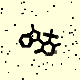 CNC(=O)/C(=C(\C(C)=N)S(C)(=O)=O)c1cn(C)c2ccccc12